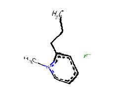 CCCc1cccc[n+]1C.[F-]